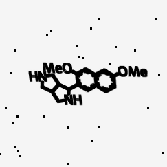 COc1ccc2cc(C3NCC4CNCC43)c(OC)cc2c1